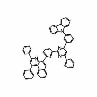 c1ccc(-c2cc(-c3cccc(-n4c5ccccc5c5ccccc54)c3)nc(-c3cccc(-c4cc5ccccc5c5c(-c6ccccc6)cc(-c6ccccc6)nc45)c3)n2)cc1